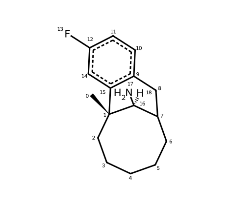 C[C@@]12CCCCCC(Cc3ccc(F)cc31)[C@@H]2N